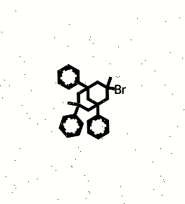 CC1(Br)CC2(c3ccccc3)CC(C)(c3ccccc3)CC(c3ccccc3)(C1)C2